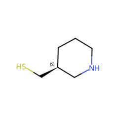 SC[C@H]1CCCNC1